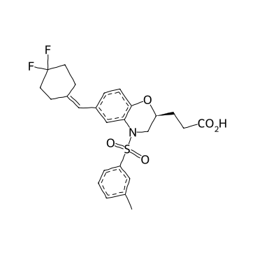 Cc1cccc(S(=O)(=O)N2C[C@H](CCC(=O)O)Oc3ccc(C=C4CCC(F)(F)CC4)cc32)c1